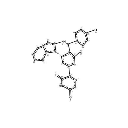 O=c1cnn(-c2ccc(C(Nc3nc4cccnc4s3)c3ccc(Cl)cc3)c(Cl)c2)c(=O)[nH]1